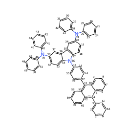 c1ccc(-c2c3ccccc3c(-c3ccc(-n4c5ccc(N(c6ccccc6)c6ccccc6)cc5c5cc(N(c6ccccc6)c6ccccc6)ccc54)cc3)c3ccccc23)cc1